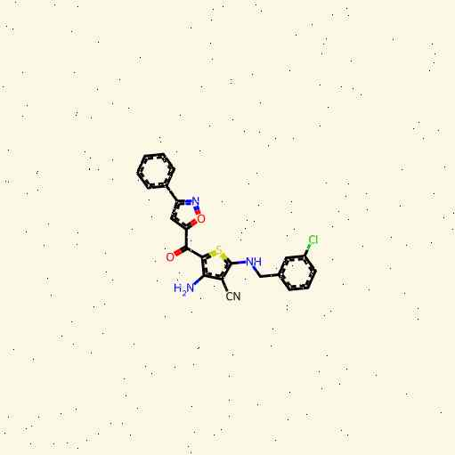 N#Cc1c(NCc2cccc(Cl)c2)sc(C(=O)c2cc(-c3ccccc3)no2)c1N